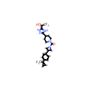 O=C(N1CCC(c2nnc(C(O)C(F)(F)F)[nH]2)CC1)N1CC(c2ccc(C3(C(F)(F)F)CC3)cc2)C1